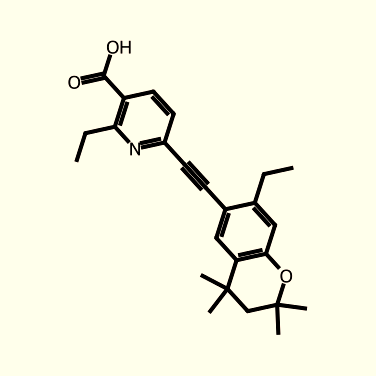 CCc1cc2c(cc1C#Cc1ccc(C(=O)O)c(CC)n1)C(C)(C)CC(C)(C)O2